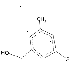 Cc1cc(F)cc(CO)c1